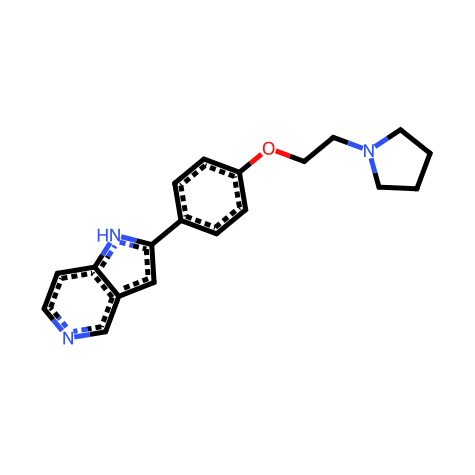 c1cc2[nH]c(-c3ccc(OCCN4CCCC4)cc3)cc2cn1